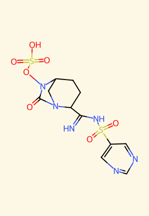 N=C(NS(=O)(=O)c1cncnc1)C1CCC2CN1C(=O)N2OS(=O)(=O)O